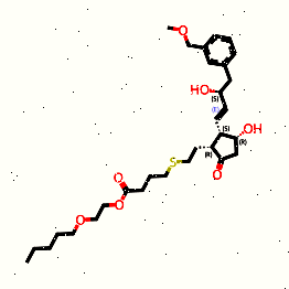 CCCCCOCCOC(=O)CCCSCC[C@H]1C(=O)C[C@@H](O)[C@H]1/C=C/[C@@H](O)Cc1cccc(COC)c1